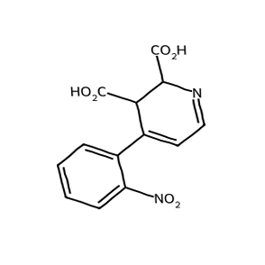 O=C(O)C1N=CC=C(c2ccccc2[N+](=O)[O-])C1C(=O)O